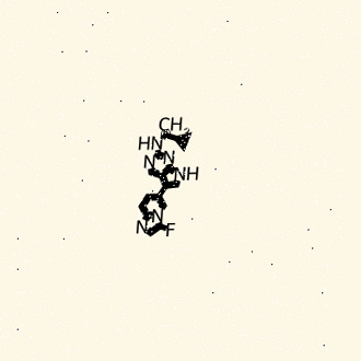 C[C@@H](Nc1ncc2c(-c3ccc4ncc(F)n4c3)c[nH]c2n1)C1CC1